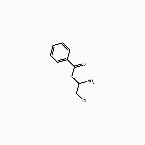 NC(CCl)OC(=O)c1ccccc1